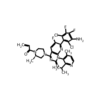 C=CC(=O)N1CCN(c2nc(=O)n(-c3c(C)ccnc3C(C)C)c3nc(-c4c(Cl)c(N)c(F)c(F)c4Cl)c(F)cc23)C[C@H]1C